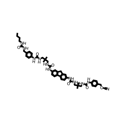 CCCCNC(=O)NCc1ccc(NC(=O)NCC(C)(C)CNC(=O)Nc2ccc3c(c2)Cc2cc(NC(=O)NCC(C)(C)CNC(=O)Nc4ccc(COC#N)cc4)ccc2-3)cc1